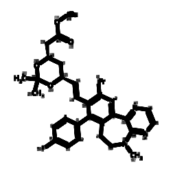 CC(C)c1nc2c(c(-c3ccc(F)cc3)c1/C=C/[C@@H]1C[C@H](CC(=O)OC(C)(C)C)OC(C)(C)O1)CCN(C)c1nccnc1-2